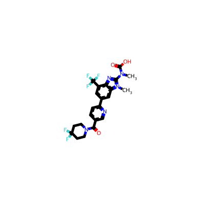 CN(C(=O)O)c1nc2c(C(F)(F)F)cc(-c3ccc(C(=O)N4CCC(F)(F)CC4)cn3)cc2n1C